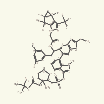 CSc1nc2nc(C(Cc3cc(F)cc(F)c3)NC(=O)Cn3nc(C(F)(F)F)c4c3C(F)(F)[C@@H]3C[C@H]43)c(-c3cccc4c(NS(=O)(=O)CC5CNCCC5(C)NC(=O)OC(C)(C)C)nn(C)c34)cc2s1